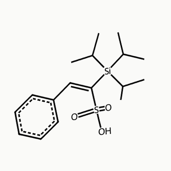 CC(C)[Si](C(=Cc1ccccc1)S(=O)(=O)O)(C(C)C)C(C)C